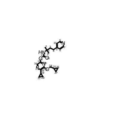 CC(C)(CCc1ccncc1)NC(=O)Oc1cnc(C2CC2)c(OCC2CC2)n1